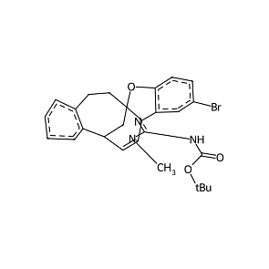 CN1C2=CC3CC4(CCc5ccccc53)Oc3ccc(Br)cc3C24N=C1NC(=O)OC(C)(C)C